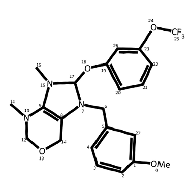 COc1cccc(CN2C3=C(N(C)COC3)N(C)C2Oc2cccc(OC(F)(F)F)c2)c1